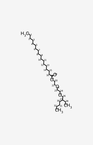 CCCCCCCCCCCCCCCCCC(=O)OCCOCCOCC(CC)CCCC